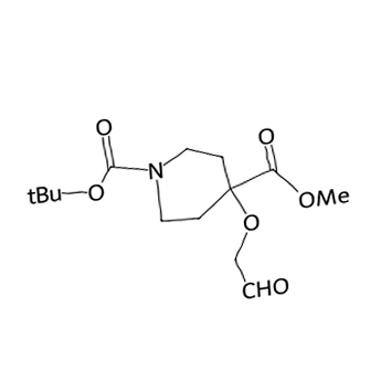 COC(=O)C1(OCC=O)CCN(C(=O)OC(C)(C)C)CC1